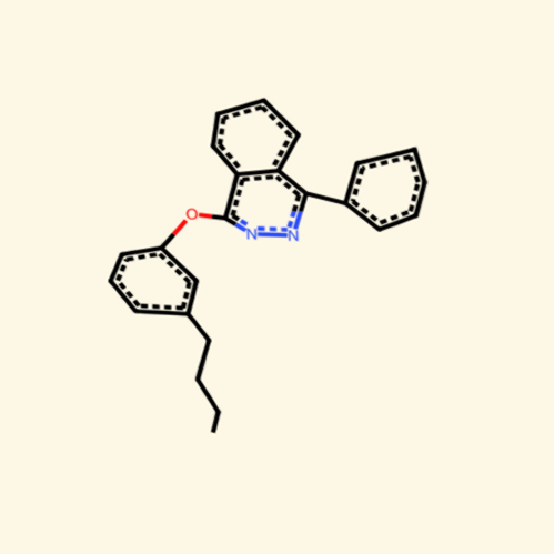 CCCCc1cccc(Oc2nnc(-c3ccccc3)c3ccccc23)c1